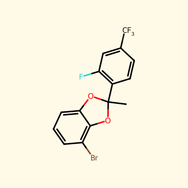 CC1(c2ccc(C(F)(F)F)cc2F)Oc2cccc(Br)c2O1